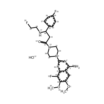 COc1cc2c(N)nc(N3CCN(C(=O)CC(NCCF)c4ccc(F)cc4)CC3)nc2c(F)c1OC.Cl